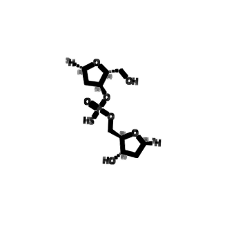 [3H][C@H]1C[C@H](OP(=O)(S)OC[C@H]2O[C@@H]([3H])C[C@@H]2O)[C@@H](CO)O1